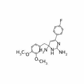 COc1ccc(CC2(N)C=C(c3ccc(F)cc3)N=C(N)N2)cc1OC